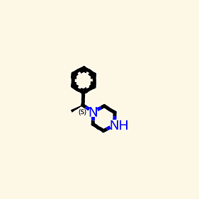 C[C@@H](c1ccccc1)N1CCNCC1